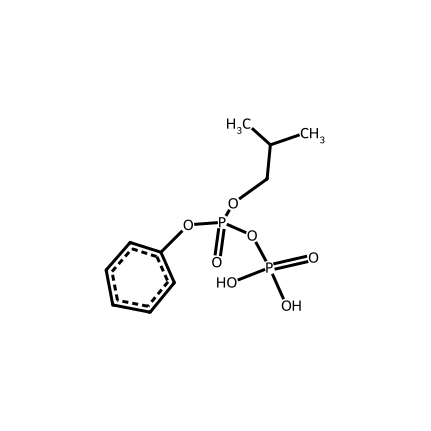 CC(C)COP(=O)(Oc1ccccc1)OP(=O)(O)O